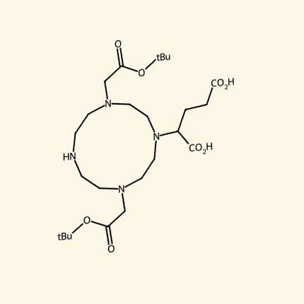 CC(C)(C)OC(=O)CN1CCNCCN(CC(=O)OC(C)(C)C)CCN(C(CCC(=O)O)C(=O)O)CC1